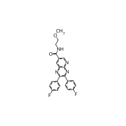 COCCNC(=O)c1cnc2nc(-c3ccc(F)cc3)c(-c3ccc(F)cc3)nc2c1